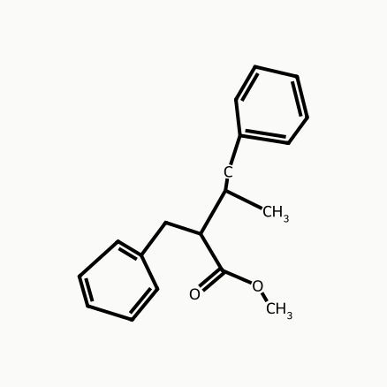 COC(=O)C(Cc1ccccc1)C(C)Cc1ccccc1